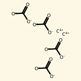 O=C([O-])[O-].O=C([O-])[O-].O=C([O-])[O-].O=C([O-])[O-].[C+4].[C+4]